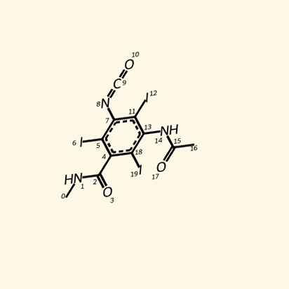 CNC(=O)c1c(I)c(N=C=O)c(I)c(NC(C)=O)c1I